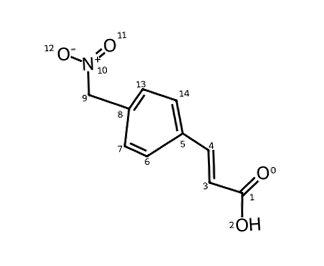 O=C(O)C=Cc1ccc(C[N+](=O)[O-])cc1